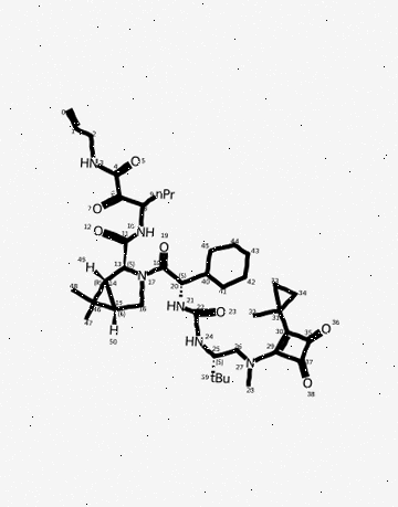 C=CCNC(=O)C(=O)C(CCC)NC(=O)[C@@H]1[C@@H]2[C@H](CN1C(=O)[C@@H](NC(=O)N[C@H](CN(C)c1c(C3(C)CC3)c(=O)c1=O)C(C)(C)C)C1CCCCC1)C2(C)C